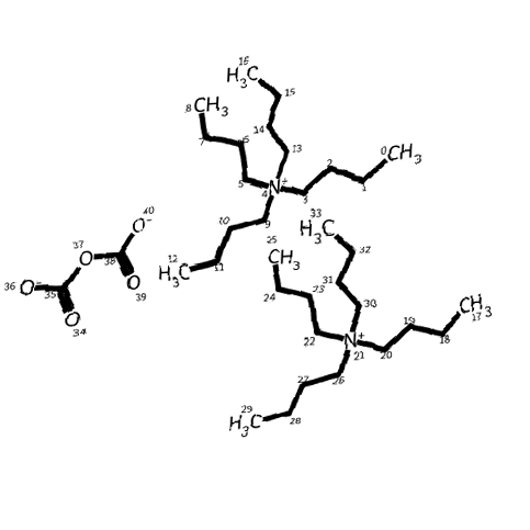 CCCC[N+](CCCC)(CCCC)CCCC.CCCC[N+](CCCC)(CCCC)CCCC.O=C([O-])OC(=O)[O-]